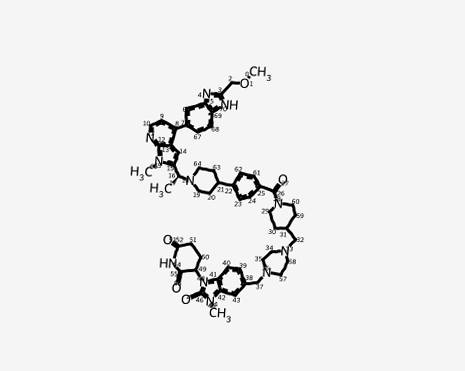 COCc1nc2cc(-c3ccnc4c3cc([C@H](C)N3CCC(c5ccc(C(=O)N6CCC(CN7CCN(Cc8ccc9c(c8)n(C)c(=O)n9C8CCC(=O)NC8=O)CC7)CC6)cc5)CC3)n4C)ccc2[nH]1